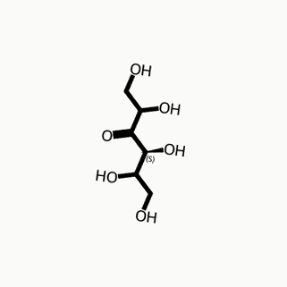 O=C(C(O)CO)[C@@H](O)C(O)CO